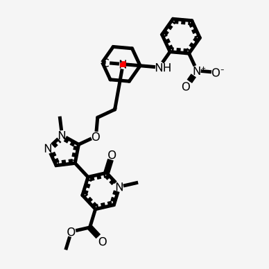 COC(=O)c1cc(-c2cnn(C)c2OCCN2CC3CCC(Nc4ccccc4[N+](=O)[O-])(CC3)C2)c(=O)n(C)c1